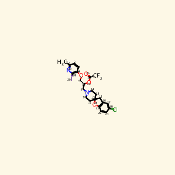 Cc1ccc(OC[C@H](CN2CCC3(CC2)Cc2cc(Cl)ccc2O3)OC(=O)C(F)(F)F)c(I)n1